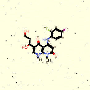 Cn1cc(C(O)CCO)c(=O)c2c(Nc3ccc(I)cc3F)cc(=O)n(C)c21